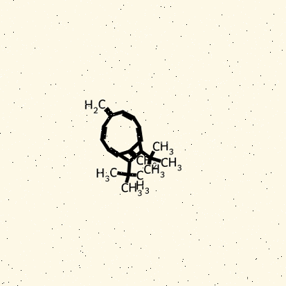 C=c1cccc2c(=C)c(ccc1)C(C(C)(C)C)C2C(C)(C)C